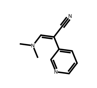 CN(C)/C=C(/C#N)c1cccnc1